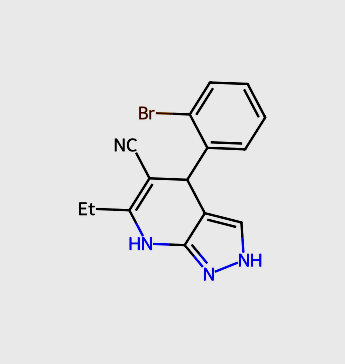 CCC1=C(C#N)C(c2ccccc2Br)c2c[nH]nc2N1